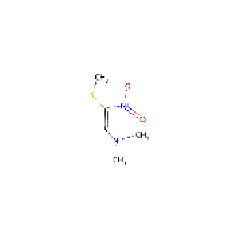 CS/C(=C/N(C)C)[N+](=O)[O-]